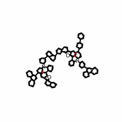 c1ccc(-c2ccc(-c3ccc(N(c4ccc(-c5cc6ccccc6c6ccccc56)cc4)c4ccccc4-c4cccc5c4oc4c6cc(-c7cccc8c(-c9cccc(N(c%10ccc(-c%11cc%12ccccc%12c%12ccccc%11%12)cc%10)c%10ccccc%10-c%10cccc%11c%10oc%10c%12ccccc%12ccc%11%10)c9)cccc78)ccc6ccc54)cc3)cc2)cc1